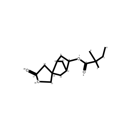 CCC(C)(C)C(=O)OC1CC2CC1CC21COC(=O)C1